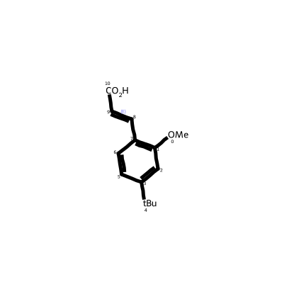 COc1cc(C(C)(C)C)ccc1/C=C/C(=O)O